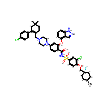 CC1(C)CCC(CN2CCN(c3ccc(C(=O)NS(=O)(=O)c4ccc(OC[C@]5(F)CC[C@H](C#N)CC5)c(Cl)c4)c(Oc4cccc5[nH]ncc45)c3)CC2)=C(c2ccc(Cl)cc2)C1